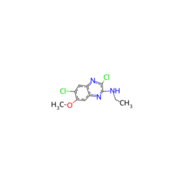 CCNc1nc2cc(OC)c(Cl)cc2nc1Cl